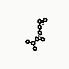 c1ccc(-c2cc(-c3ccccc3)cc(-c3ccc4c(c3)c3ccccc3n4-c3ccc(-c4ccc(-c5cccc6c5sc5ccccc56)cc4)cc3)c2)cc1